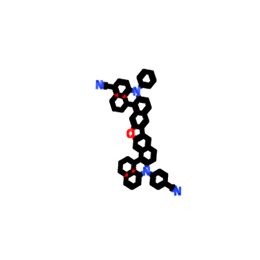 N#Cc1ccc(N(c2ccccc2)c2ccc3cc4c(cc3c2C2CCCCC2)oc2cc3c(C5CCCCC5)c(N(c5ccccc5)c5ccc(C#N)cc5)ccc3cc24)cc1